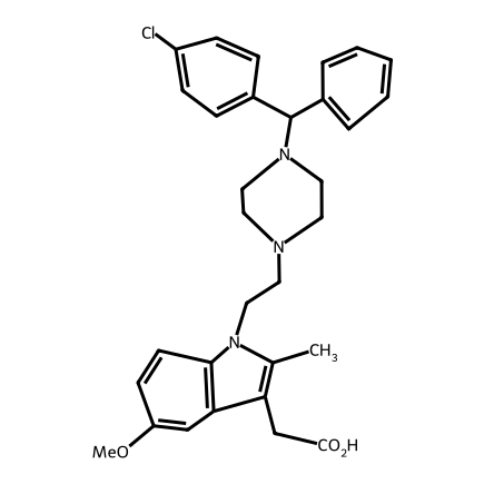 COc1ccc2c(c1)c(CC(=O)O)c(C)n2CCN1CCN(C(c2ccccc2)c2ccc(Cl)cc2)CC1